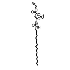 CCCCCCCCCCCCCCCCCCNC(=O)OC[C@H](COC(=O)OCCBr)OC(=O)OC